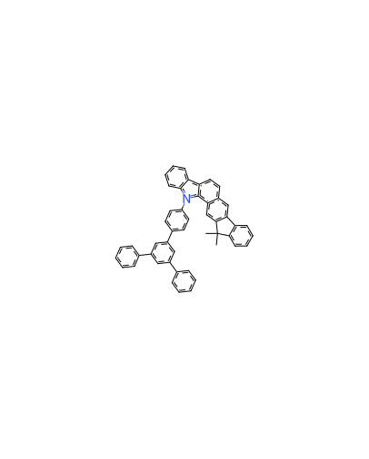 CC1(C)c2ccccc2-c2cc3ccc4c5ccccc5n(-c5ccc(-c6cc(-c7ccccc7)cc(-c7ccccc7)c6)cc5)c4c3cc21